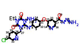 CCn1c(=O)n(N)/c(=N\c2ccc(Oc3cncc(C(=O)N=NN)c3)cc2)n(Cc2ccc(Cl)cn2)c1=O